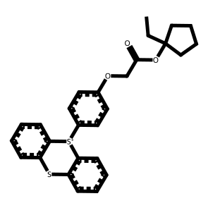 CCC1(OC(=O)COc2ccc([S+]3c4ccccc4Sc4ccccc43)cc2)CCCC1